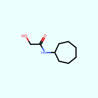 O=C(CO)NC1CCCCCC1